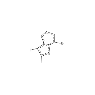 CCc1nc2c(Br)cccn2c1I